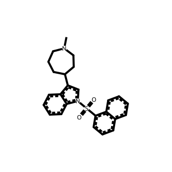 CN1CCCC(c2cn(S(=O)(=O)c3cccc4ccccc34)c3ccccc23)CC1